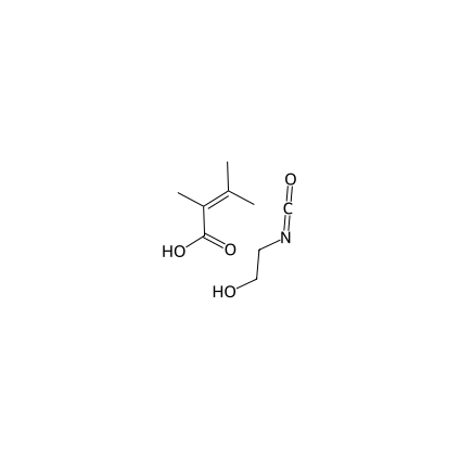 CC(C)=C(C)C(=O)O.O=C=NCCO